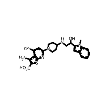 CCCc1cc(N2CCC(NCC(O)c3cc4ccccc4n3C)CC2)nc2sc(C(=O)O)c(N)c12